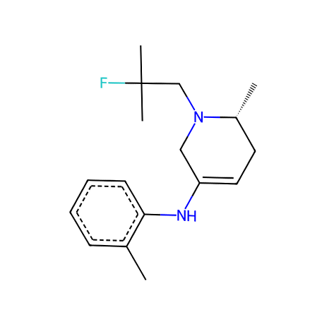 Cc1ccccc1NC1=CC[C@@H](C)N(CC(C)(C)F)C1